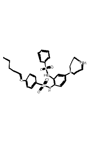 CCCCOc1ccc(S(=O)(=O)Nc2ccc(N3CCNCC3)cc2NS(=O)(=O)c2ccccc2)cc1